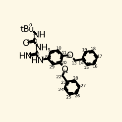 CC(C)(C)NC(=O)NC(=N)Nc1ccc(OCc2ccccc2)c(OCc2ccccc2)c1